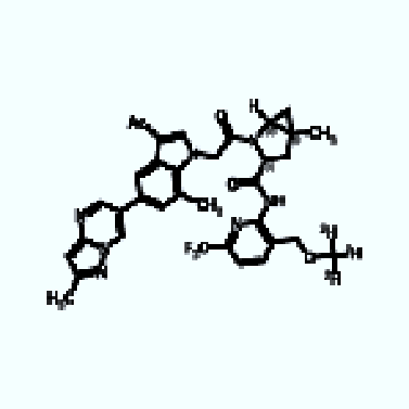 [2H]C([2H])([2H])OCc1ccc(C(F)(F)F)nc1NC(=O)[C@@H]1C[C@@]2(C)C[C@H]2N1C(=O)Cn1cc(C(C)=O)c2cc(-c3cnc4cc(C)nn4c3)cc(C)c21